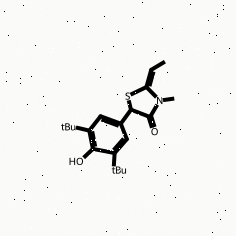 CC=C1SC(c2cc(C(C)(C)C)c(O)c(C(C)(C)C)c2)C(=O)N1C